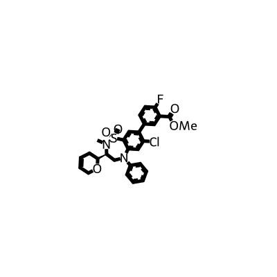 COC(=O)c1cc(-c2cc3c(cc2Cl)N(c2ccccc2)C[C@@H](C2CC=CCO2)N(C)S3(=O)=O)ccc1F